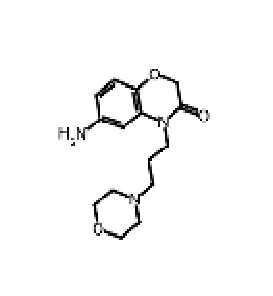 Nc1ccc2c(c1)N(CCCN1CCOCC1)C(=O)CO2